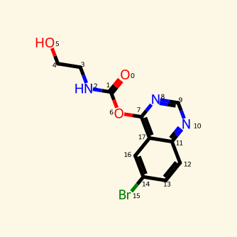 O=C(NCCO)Oc1ncnc2ccc(Br)cc12